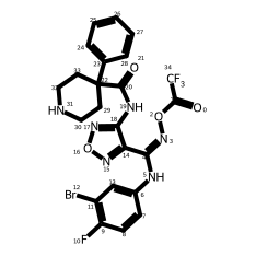 O=C(O/N=C(/Nc1ccc(F)c(Br)c1)c1nonc1NC(=O)C1(c2ccccc2)CCNCC1)C(F)(F)F